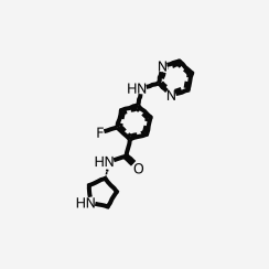 O=C(N[C@@H]1CCNC1)c1ccc(Nc2ncccn2)cc1F